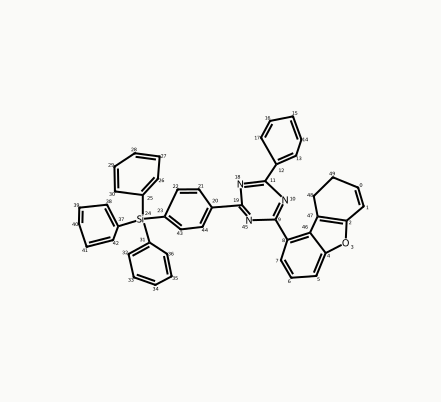 C1=Cc2oc3cccc(-c4nc(-c5ccccc5)nc(-c5ccc([Si](c6ccccc6)(c6ccccc6)c6ccccc6)cc5)n4)c3c2CC1